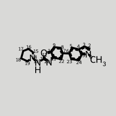 Cn1ccc2cc(-c3ccc4oc(NN5CCCCC5)nc4c3)ccc21